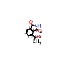 CC(Br)c1cccc2c1C(=O)NC2=O